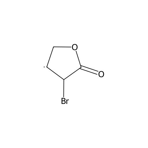 O=C1OC[CH]C1Br